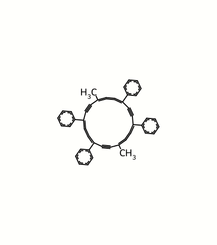 CC1=C=C=C(c2ccccc2)C#CC(c2ccccc2)=C=C=C(C)C#CC(c2ccccc2)=C=C=C(c2ccccc2)C#C1